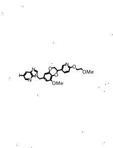 COCCOc1ccc(C2COc3cc(Cn4cnc5cc(I)cnc54)cc(OC)c3O2)cn1